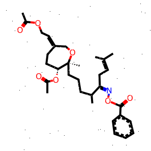 CC(=O)OC/C=C1\CC[C@@H](OC(C)=O)[C@](C)(CCCC(C)/C(CC=C(C)C)=N\OC(=O)c2ccccc2)OC1